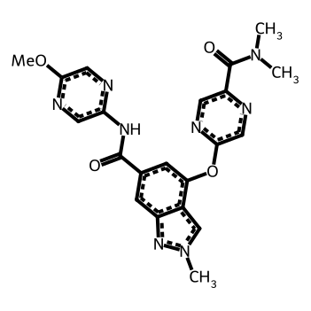 COc1cnc(NC(=O)c2cc(Oc3cnc(C(=O)N(C)C)cn3)c3cn(C)nc3c2)cn1